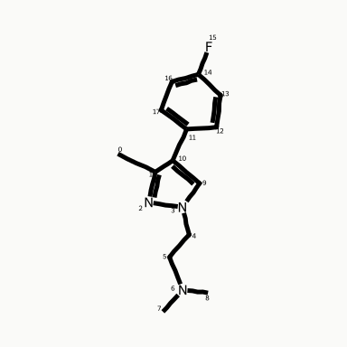 Cc1nn(CCN(C)C)cc1-c1ccc(F)cc1